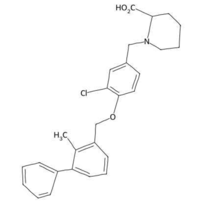 Cc1c(COc2ccc(CN3CCCCC3C(=O)O)cc2Cl)cccc1-c1ccccc1